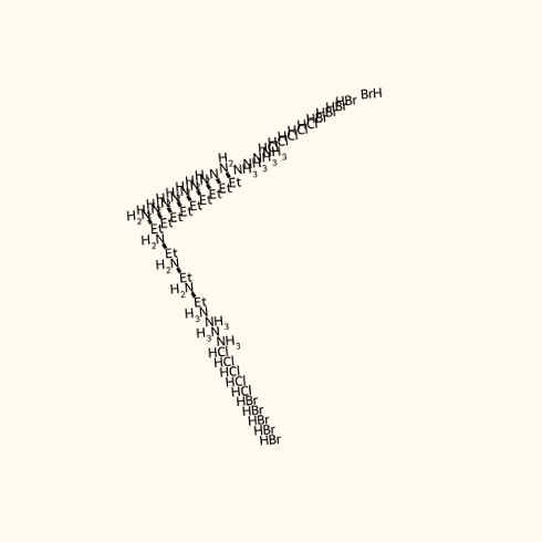 Br.Br.Br.Br.Br.Br.Br.Br.Br.Br.CCN.CCN.CCN.CCN.CCN.CCN.CCN.CCN.CCN.CCN.CCN.CCN.Cl.Cl.Cl.Cl.Cl.Cl.Cl.Cl.Cl.Cl.N.N.N.N.N.N.N.N